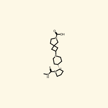 CNC(=S)N1CCC[C@H]1C1CCN(C2CC3(CCN(C(=O)O)C3)C2)CC1